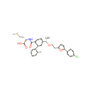 CSCC[C@H](NC(=O)c1ccc(COCCc2ccc(-c3ccc(Cl)cc3)o2)cc1-c1ccccc1C)C(=O)O.[LiH]